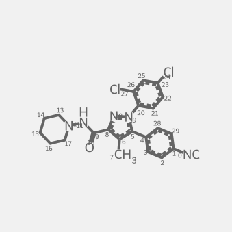 [C-]#[N+]c1ccc(-c2c(C)c(C(=O)NN3CCCCC3)nn2-c2ccc(Cl)cc2Cl)cc1